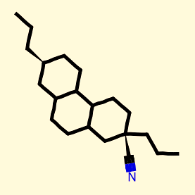 CCC[C@H]1CCC2C(CCC3C[C@@](C#N)(CCC)CCC32)C1